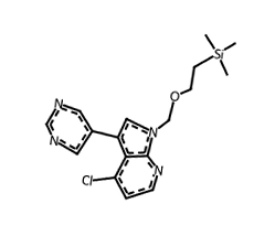 C[Si](C)(C)CCOCn1cc(-c2cncnc2)c2c(Cl)ccnc21